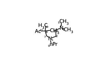 CCCN(CCN(C)C)CC(C)(C)C(C)=O